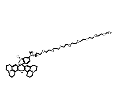 CCCOCCOCCOCCOCCOCCOCCOCCOCCNN(O)c1ccc2c(c1)S(=O)OC21c2cc3c4c(c2Oc2c1cc1c5c2CCCN5CCC1)CCCN4CCC3